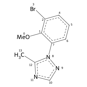 COc1c(Br)cccc1-n1ncnc1C